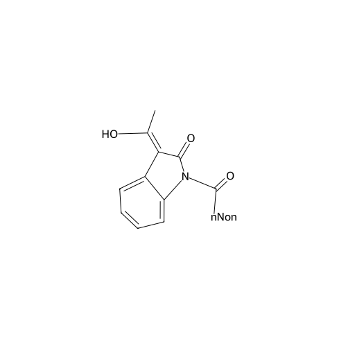 CCCCCCCCCC(=O)N1C(=O)C(=C(C)O)c2ccccc21